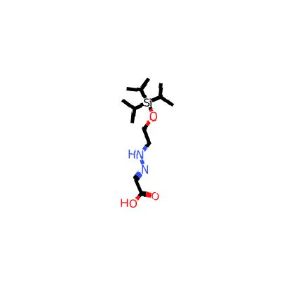 CC(C)[Si](OCCNN=CC(=O)O)(C(C)C)C(C)C